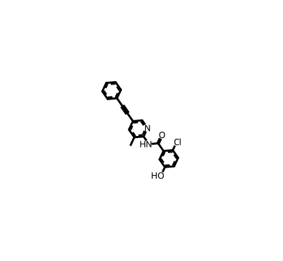 Cc1cc(C#Cc2ccccc2)cnc1NC(=O)c1cc(O)ccc1Cl